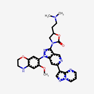 COc1cc2c(cc1-n1nc(N3CC(CCN(C)C)OC3=O)c3cnc(-c4cnn5cccnc45)cc31)OCCN2